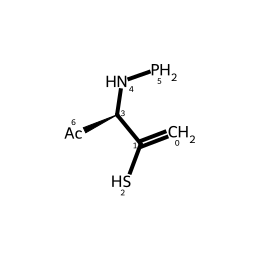 C=C(S)[C@H](NP)C(C)=O